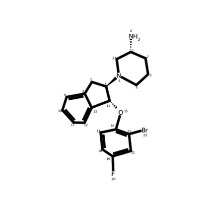 N[C@@H]1CCCN([C@@H]2Cc3ccccc3[C@H]2Oc2ccc(F)cc2Br)C1